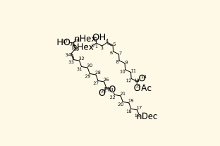 CCCCCCC(O)C/C=C\CCCCCCCC(=O)OC(C)=O.CCCCCCCCCCCCCCCCOC(=O)CCCCCCC/C=C\CC(O)CCCCCC